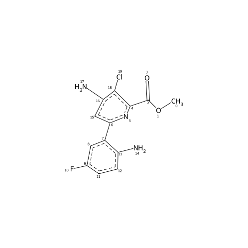 COC(=O)c1nc(-c2cc(F)ccc2N)cc(N)c1Cl